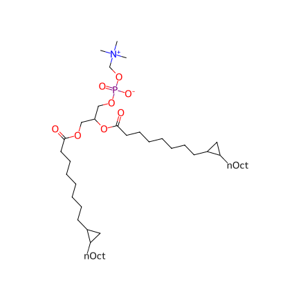 CCCCCCCCC1CC1CCCCCCCC(=O)OCC(COP(=O)([O-])OC[N+](C)(C)C)OC(=O)CCCCCCCC1CC1CCCCCCCC